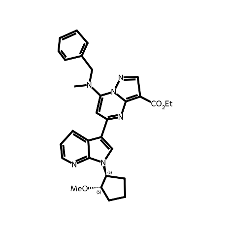 CCOC(=O)c1cnn2c(N(C)Cc3ccccc3)cc(-c3cn([C@H]4CCC[C@@H]4OC)c4ncccc34)nc12